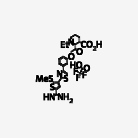 CCN1CCCC(C(=O)O)C1C(=O)COc1cccc(-c2csc(-c3cc(C(=N)N)sc3SC)n2)c1.O=C(O)C(F)(F)F